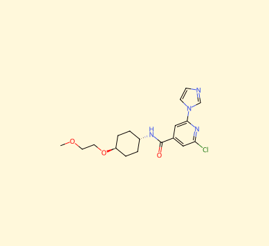 COCCO[C@H]1CC[C@H](NC(=O)c2cc(Cl)nc(-n3ccnc3)c2)CC1